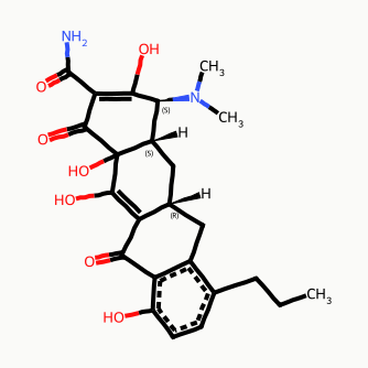 CCCc1ccc(O)c2c1C[C@H]1C[C@H]3[C@H](N(C)C)C(O)=C(C(N)=O)C(=O)C3(O)C(O)=C1C2=O